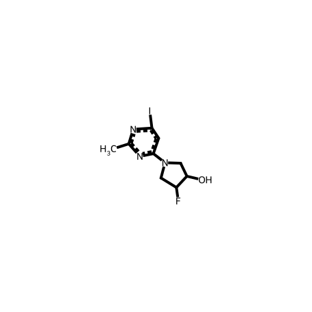 Cc1nc(I)cc(N2CC(O)C(F)C2)n1